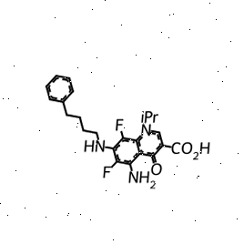 CC(C)n1cc(C(=O)O)c(=O)c2c(N)c(F)c(NCCCCc3ccccc3)c(F)c21